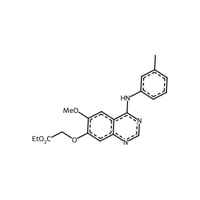 CCOC(=O)COc1cc2ncnc(Nc3cccc(C)c3)c2cc1OC